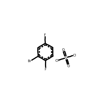 Fc1ccc(F)c(Br)c1.O=S(=O)(Cl)Cl